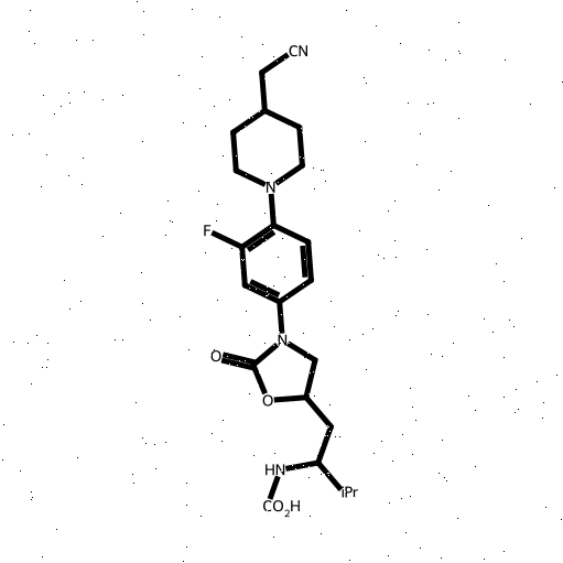 CC(C)C(CC1CN(c2ccc(N3CCC(CC#N)CC3)c(F)c2)C(=O)O1)NC(=O)O